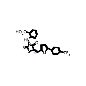 O=C(O)c1ccccc1NN1C(=O)/C(=C\c2ccc(-c3ccc(C(F)(F)F)cc3)o2)SC1=S